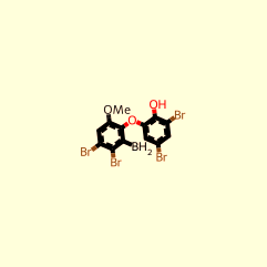 Bc1c(Br)c(Br)cc(OC)c1Oc1cc(Br)cc(Br)c1O